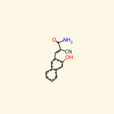 N#CC(=Cc1cc2ccccc2cc1O)C(N)=O